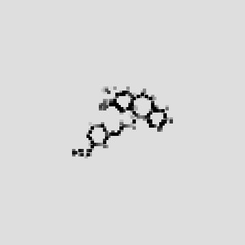 Cl.O=C(O)C1CCCN(CCCN2c3ccccc3CCc3ccc(Cl)cc32)C1